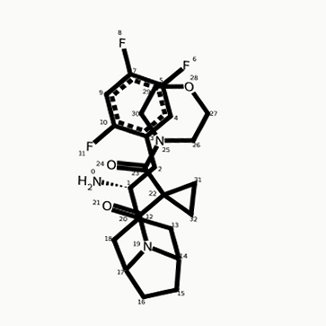 N[C@H](Cc1cc(F)c(F)cc1F)C1CC2CCC(C1)N2C(=O)C1(C(=O)N2CCOCC2)CC1